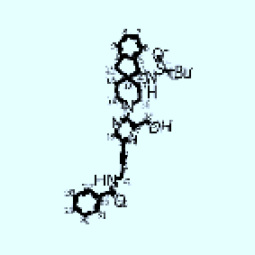 CC(C)(C)[S+]([O-])N[C@@H]1c2ccccc2CC12CCN(c1ncc(C#CCNC(=O)c3ccccc3)nc1CO)CC2